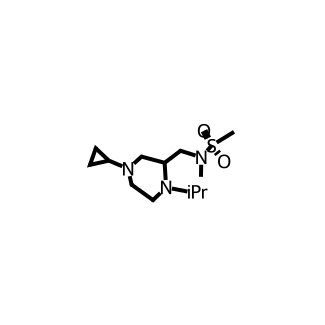 CC(C)N1CCN(C2CC2)CC1CN(C)S(C)(=O)=O